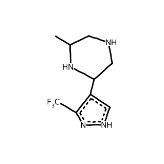 CC1CNCC(c2c[nH]nc2C(F)(F)F)N1